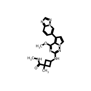 CNC(=O)C1(C)CC(Nc2nc(OC)c3c(-c4ccc5ncnn5c4)ccn3n2)C1